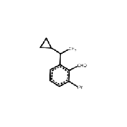 CC(C)c1cccc(C(C)C2CC2)c1C=O